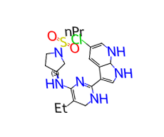 CCCS(=O)(=O)N1CC[C@H](NC2=C(CC)CNC(C3=CNC4NC=C(Cl)C=C34)=N2)C1